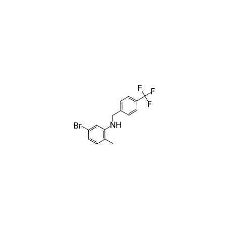 Cc1ccc(Br)cc1NCc1ccc(C(F)(F)F)cc1